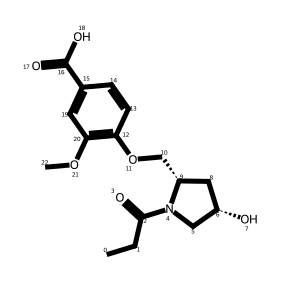 CCC(=O)N1C[C@@H](O)C[C@H]1COc1ccc(C(=O)O)cc1OC